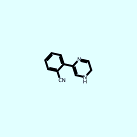 N#Cc1ccccc1C1=CNCC=N1